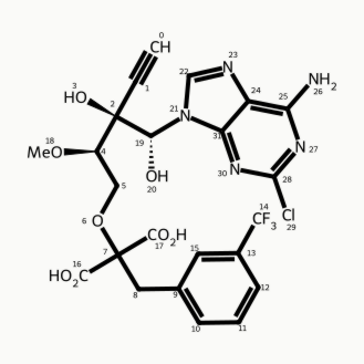 C#C[C@@](O)([C@@H](COC(Cc1cccc(C(F)(F)F)c1)(C(=O)O)C(=O)O)OC)[C@@H](O)n1cnc2c(N)nc(Cl)nc21